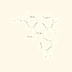 C=C/C(=C1\c2ccc(Cl)cc2OCc2ncccc21)c1cccc([N+](=O)[O-])c1